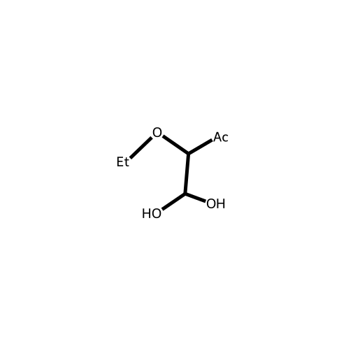 CCOC(C(C)=O)C(O)O